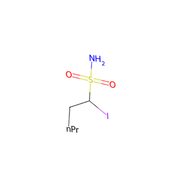 CCCCC(I)S(N)(=O)=O